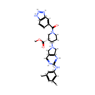 COC(=O)[C@@H]1CN(C(=O)c2ccc3[nH]nnc3c2)CC[C@H]1N1Cc2cnc(Nc3cc(C)cc(C)c3)nc2C1